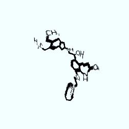 CCc1cc2c(cc1CC)CC(NC[C@@H](O)c1ccc(OCCN3CCCCC3)c3[nH]c(=O)ccc13)C2